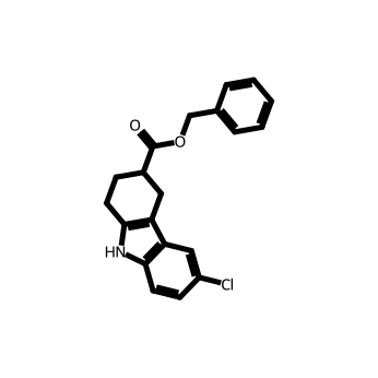 O=C(OCc1ccccc1)C1CCc2[nH]c3ccc(Cl)cc3c2C1